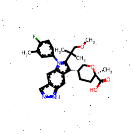 COCC(C)(C)c1c([C@H]2CC[C@](C)(C(=O)O)OC2)c2cc3[nH]ncc3cc2n1-c1ccc(F)c(C)c1